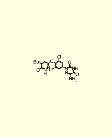 CC[C@H](C)c1cc(Oc2c(Cl)cc(-n3nc(N)c(=O)[nH]c3=O)cc2Cl)n[nH]c1=O